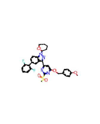 COc1ccc(COc2cc(-c3nn(C4CCCCO4)c4ccc(-c5c(F)cccc5F)cc34)nc(S(C)(=O)=O)n2)cc1